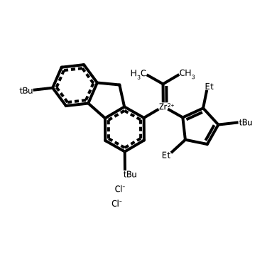 CCC1=[C]([Zr+2](=[C](C)C)[c]2cc(C(C)(C)C)cc3c2Cc2ccc(C(C)(C)C)cc2-3)C(CC)C=C1C(C)(C)C.[Cl-].[Cl-]